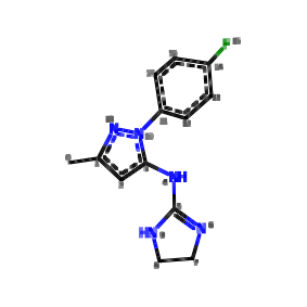 Cc1cc(NC2=NCCN2)n(-c2ccc(F)cc2)n1